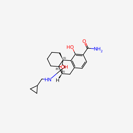 NC(=O)c1ccc2c(c1O)[C@@]13CCCC[C@@]1(O)[C@@H](C2)C(NCC1CC1)CC3